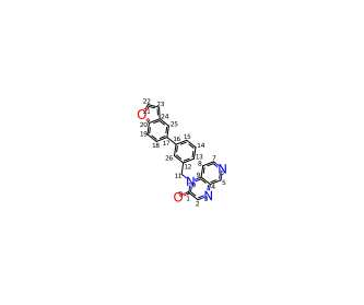 O=c1cnc2cnccc2n1Cc1cccc(-c2ccc3occc3c2)c1